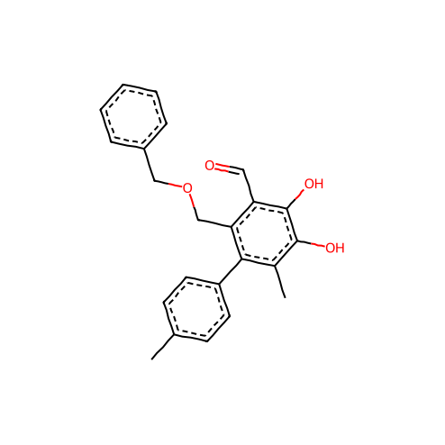 Cc1ccc(-c2c(C)c(O)c(O)c(C=O)c2COCc2ccccc2)cc1